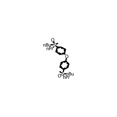 CCCCS(C)(=O)(CCC)c1ccc(Oc2ccc(S(C)(=O)(CCC)CCCC)cc2)cc1